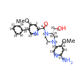 COc1cc(C(=O)N2CCN(c3cnc(N)cc3OC)C[C@H]2CO)ncc1-c1ccccc1